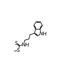 CSC(=S)NCCCc1c[nH]c2ccccc12